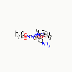 CC(C)OC(=O)N1CCN(c2ncc(-c3ccc(N)cc3S(=O)(=O)NC(C)(C)C)s2)CC1